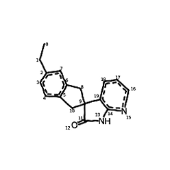 CCc1ccc2c(c1)CC1(C2)C(=O)Nc2ncccc21